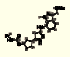 COCc1nn(C)c2c(NC3=NNC(C4CCC(OC(=O)NC(C)C)C4)C3)cccc12